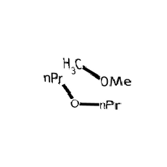 CCCOCCC.COC